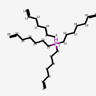 C=CCCCCC[PH](CCCCCC=C)(CCCCCC=C)CCCCCC=C